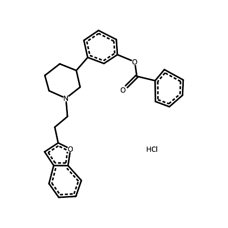 Cl.O=C(Oc1cccc(C2CCCN(CCc3cc4ccccc4o3)C2)c1)c1ccccc1